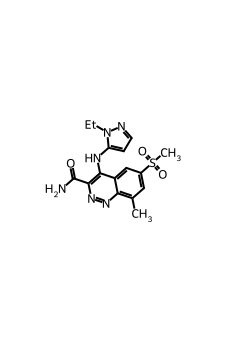 CCn1nccc1Nc1c(C(N)=O)nnc2c(C)cc(S(C)(=O)=O)cc12